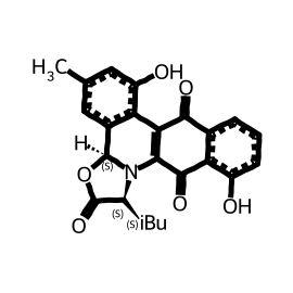 CC[C@H](C)[C@H]1C(=O)O[C@H]2c3cc(C)cc(O)c3C3=C(C(=O)c4c(O)cccc4C3=O)N12